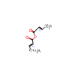 O=C(O)/C=C/C(=O)OC(=O)/C=C/C(=O)O